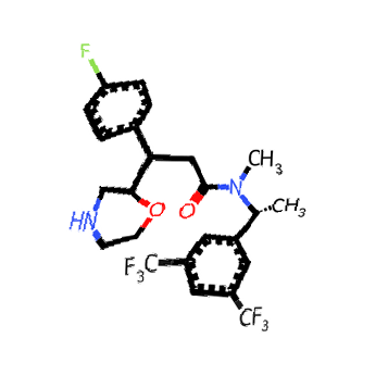 C[C@H](c1cc(C(F)(F)F)cc(C(F)(F)F)c1)N(C)C(=O)CC(c1ccc(F)cc1)C1CNCCO1